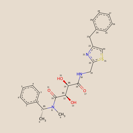 C[C@H](c1ccccc1)N(C)C(=O)[C@H](O)[C@@H](O)C(=O)NCc1nc(Cc2ccccc2)cs1